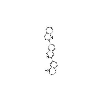 c1ccc2nc(-c3ccc4cc(-c5ccc6c(c5)NCCC6)ncc4c3)ccc2c1